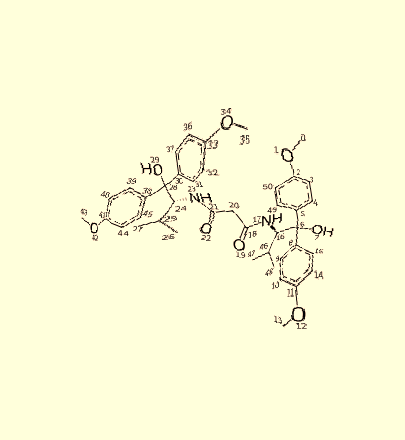 COc1ccc(C(O)(c2ccc(OC)cc2)[C@H](NC(=O)CC(=O)N[C@H](C(C)C)C(O)(c2ccc(OC)cc2)c2ccc(OC)cc2)C(C)C)cc1